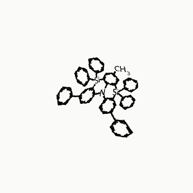 Cc1cc2c3c(c1)[Si](c1ccccc1)(c1ccccc1)c1cc(-c4ccccc4)ccc1N3c1ccc(-c3ccccc3)cc1[Si]2(c1ccccc1)c1ccccc1